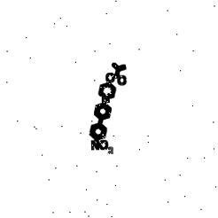 C=C(C)C(=O)OC1CCN(c2ccc(-c3ccc([N+](=O)[O-])cc3)cc2)CC1